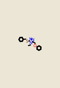 CCn1c(COc2ccccc2)nnc1SCc1ccccc1